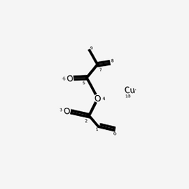 C=CC(=O)OC(=O)C(=C)C.[Cu]